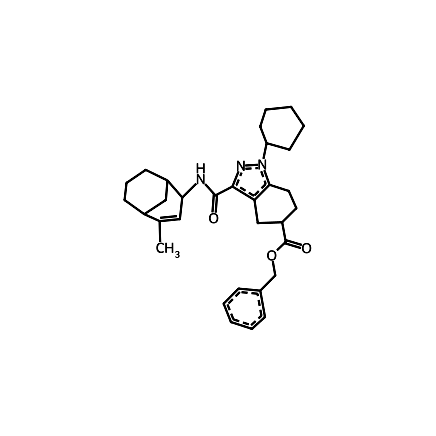 CC1=CC(NC(=O)c2nn(C3CCCCC3)c3c2CC(C(=O)OCc2ccccc2)CC3)C2CCCC1C2